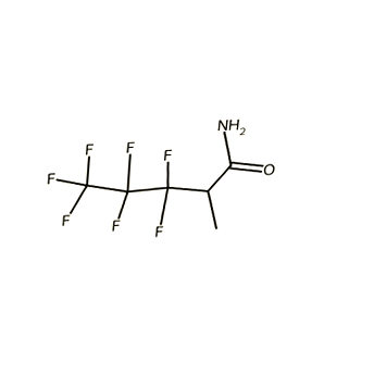 CC(C(N)=O)C(F)(F)C(F)(F)C(F)(F)F